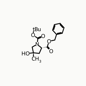 CC(C)(C)OC(=O)N1C[C@@](C)(O)C[C@H]1C(=O)OCc1ccccc1